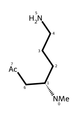 CN[C@@H](CCCN)CC(C)=O